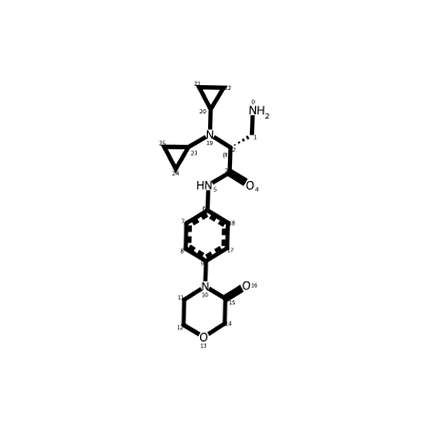 NC[C@H](C(=O)Nc1ccc(N2CCOCC2=O)cc1)N(C1CC1)C1CC1